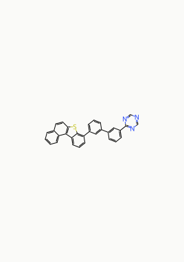 c1cc(-c2cccc(-c3cccc4c3sc3ccc5ccccc5c34)c2)cc(-c2ncncn2)c1